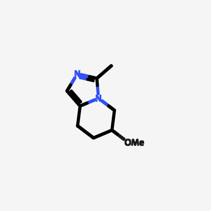 COC1CCc2cnc(C)n2C1